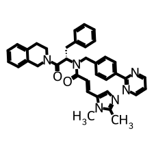 Cc1ncc(C=CC(=O)N(Cc2ccc(-c3ncccn3)cc2)[C@@H](Cc2ccccc2)C(=O)N2CCc3ccccc3C2)n1C